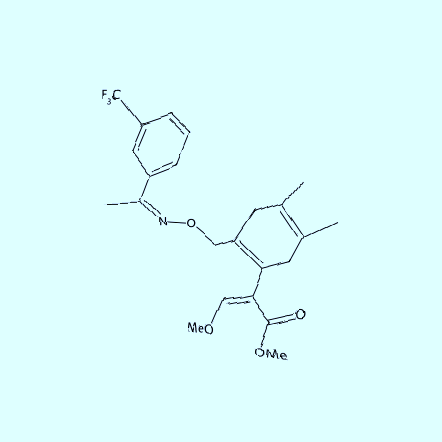 COC=C(C(=O)OC)C1=C(CON=C(C)c2cccc(C(F)(F)F)c2)CC(C)=C(C)C1